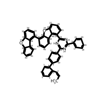 C/C=C\c1ccccc1-c1ccc(-c2nc(-c3ccccc3)nc(-c3cccc4oc5c(-c6cccc7oc8ccccc8c67)cccc5c34)n2)cc1